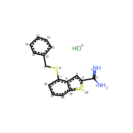 Cl.N=C(N)c1cc2c(SCc3ccccc3)cccc2s1